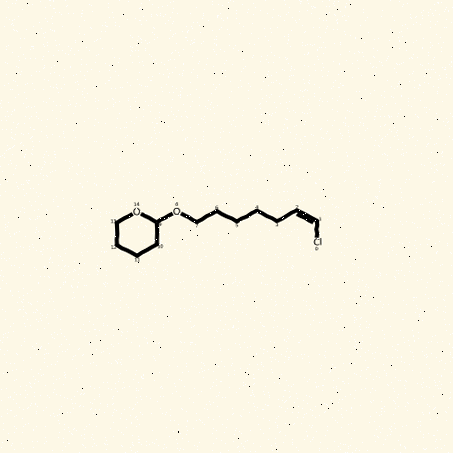 Cl/C=C\CCCCCOC1CCCCO1